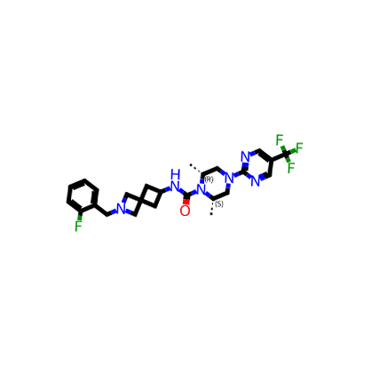 C[C@@H]1CN(c2ncc(C(F)(F)F)cn2)C[C@H](C)N1C(=O)NC1CC2(C1)CN(Cc1ccccc1F)C2